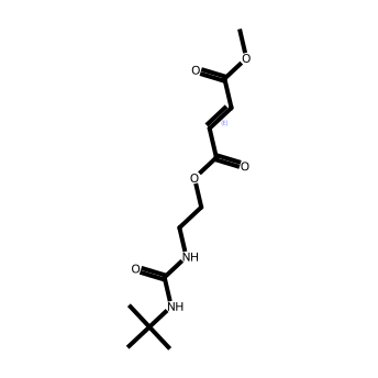 COC(=O)/C=C/C(=O)OCCNC(=O)NC(C)(C)C